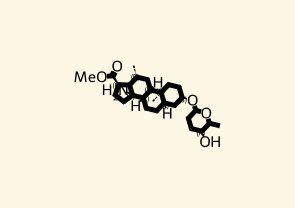 COC(=O)[C@@H]1CC[C@@]2(N)C1[C@H](C)C[C@H]1[C@H]2CC[C@@H]2C[C@@H](OC3CC[C@@H](O)C(C)O3)CC[C@@]21C